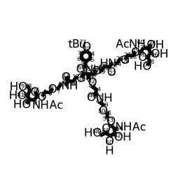 CC(=O)NC1C(OCCOCCNC(=O)CCOCC(COCCC(=O)NCCOCCOC2OC(CO)C(O)C(O)C2NC(C)=O)(COCCC(=O)NCCOCCOC2OC(CO)C(O)C(O)C2NC(C)=O)NC(=O)C2CCC(OC(C)(C)C)CC2)OC(CO)C(O)C1O